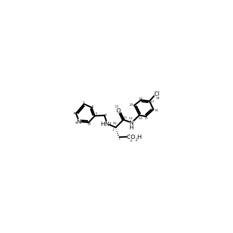 O=C(O)C[C@H](NCc1cccnc1)C(=O)Nc1ccc(Cl)cc1